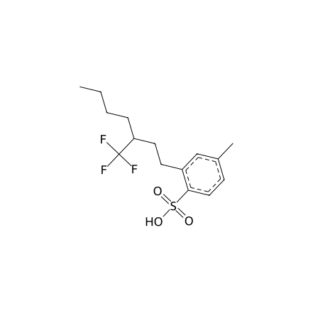 CCCCC(CCc1cc(C)ccc1S(=O)(=O)O)C(F)(F)F